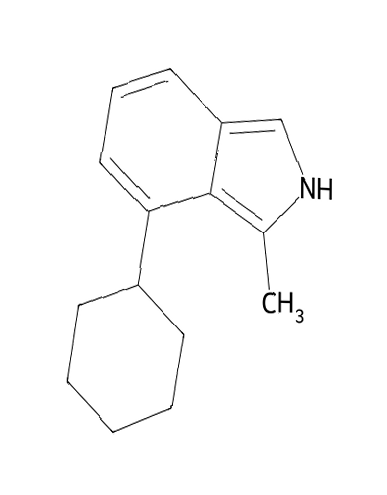 Cc1[nH]cc2cccc(C3CCCCC3)c12